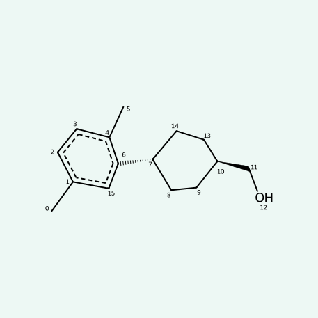 Cc1ccc(C)c([C@H]2CC[C@H](CO)CC2)c1